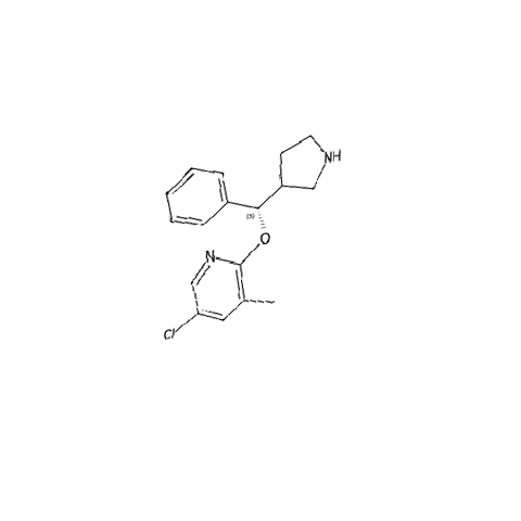 Cc1cc(Cl)cnc1O[C@H](c1ccccc1)C1CCNC1